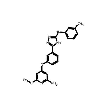 CCOc1cc(Oc2cccc(-c3nnc(Nc4cccc(C)c4)[nH]3)c2)nc(N)n1